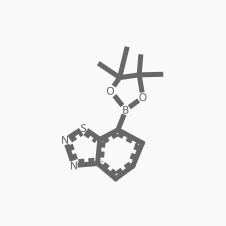 CC1(C)OB(c2cccc3nnsc23)OC1(C)C